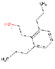 CCCc1cccc(CCC)c1CCO